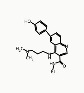 CCNC(=O)c1cnc2ccc(-c3ccc(O)cc3)cc2c1NCCCN(C)C